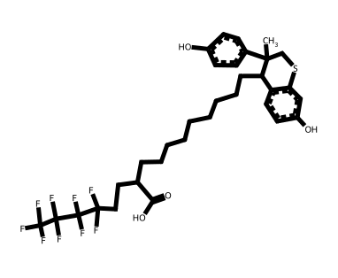 CC1(c2ccc(O)cc2)CSc2cc(O)ccc2C1CCCCCCCCCC(CCC(F)(F)C(F)(F)C(F)(F)C(F)(F)F)C(=O)O